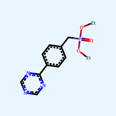 CCOP(=O)(Cc1ccc(-c2ncncn2)cc1)OCC